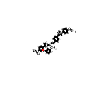 CCN(CC)c1ccc(-c2cs/c(=N\N=Cc3ccc(-c4ncn(-c5ccc(OC(F)(F)F)cc5)n4)cc3)n2-c2c(C)cccc2C)cc1